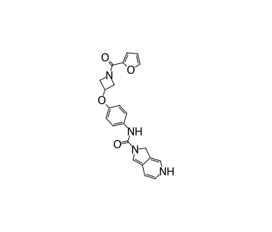 O=C(Nc1ccc(OC2CN(C(=O)c3ccco3)C2)cc1)N1C=C2C=CNC=C2C1